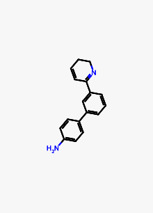 Nc1ccc(-c2cccc(C3=NCCC=C3)c2)cc1